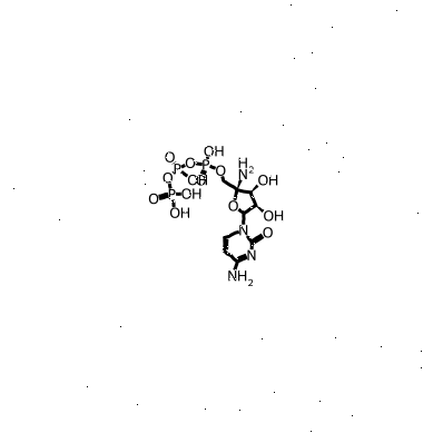 Nc1ccn(C2O[C@](N)(COP(=O)(O)OP(=O)(O)OP(=O)(O)O)[C@@H](O)[C@H]2O)c(=O)n1